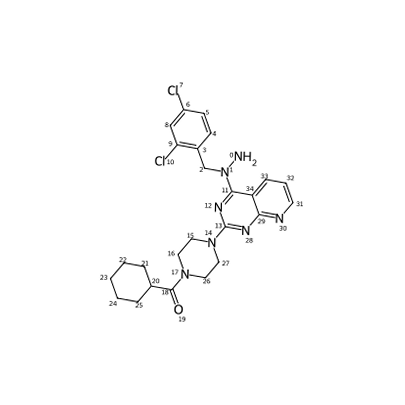 NN(Cc1ccc(Cl)cc1Cl)c1nc(N2CCN(C(=O)C3CCCCC3)CC2)nc2ncccc12